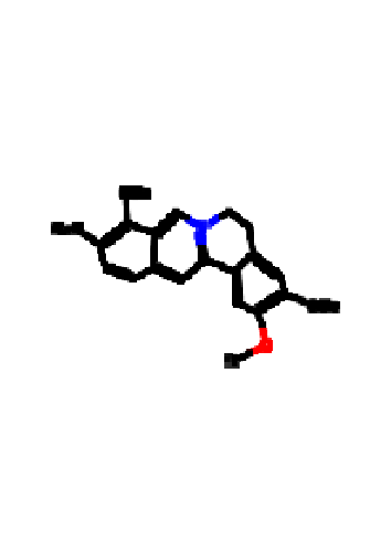 CCOc1cc2c(cc1OC)CC[n+]1cc3c(OC)c(OC)ccc3cc1-2